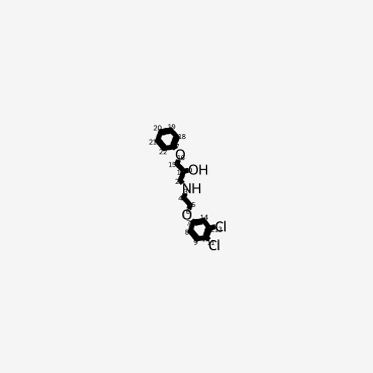 OC(CNCCOc1ccc(Cl)c(Cl)c1)COc1ccccc1